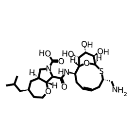 CC(C)C[C@@H]1CCO[C@H]2C(C(=O)N[C@@H]3C/C=C\C[C@@H](CN)S[C@H]4O[C@H]3[C@H](O)[C@H](O)[C@H]4O)N(C(=O)O)C[C@@H]2C1